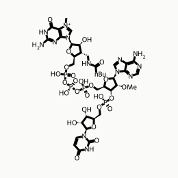 CCCCC(=O)NC[C@H]1[C@@H](O)[C@H](n2c[n+](C)c3c(=O)[nH]c(N)nc32)O[C@@H]1COP(=O)(O)OP(=O)(O)OP(=O)(O)OC[C@H]1O[C@@H](n2cnc3c(N)ncnc32)[C@H](OC)[C@@H]1OP(=O)(O)OC[C@H]1O[C@@H](n2ccc(=O)[nH]c2=O)[C@H](O)[C@@H]1O